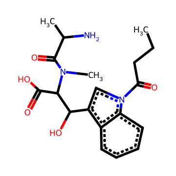 CCCC(=O)n1cc(C(O)C(C(=O)O)N(C)C(=O)C(C)N)c2ccccc21